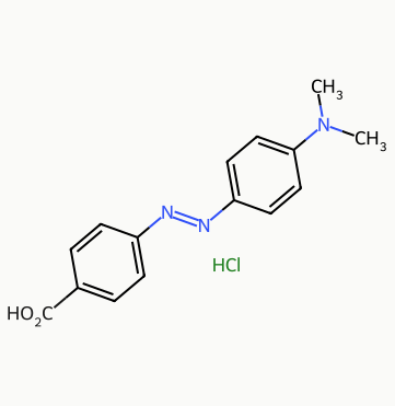 CN(C)c1ccc(N=Nc2ccc(C(=O)O)cc2)cc1.Cl